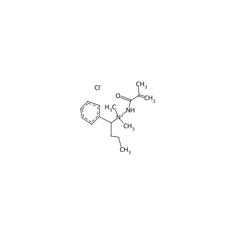 C=C(C)C(=O)N[N+](C)(C)C(CCC)c1ccccc1.[Cl-]